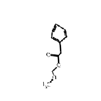 COCOC(=O)Cc1ccccc1